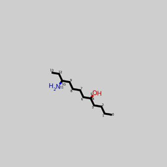 CCCCC(O)CCCCC(N)CC